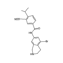 CC(C)c1ccc(C(=O)Nc2cc(Br)c3c(c2)CNCC3)cc1C#N